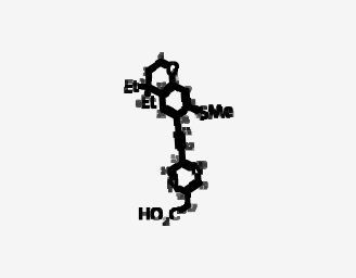 CCC1(CC)CCOc2cc(SC)c(C#Cc3cnc(CC(=O)O)cn3)cc21